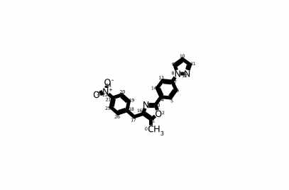 Cc1oc(-c2ccc(-n3cccn3)cc2)nc1Cc1ccc([N+](=O)[O-])cc1